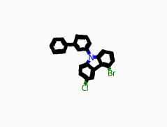 Clc1ccc2c(c1)c1c(Br)cccc1n2-c1cccc(-c2ccccc2)c1